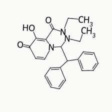 CCN1C(=O)c2c(O)c(=O)ccn2C(C(c2ccccc2)c2ccccc2)N1CC